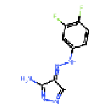 NC1=NN=[C]C1=NNc1ccc(F)c(F)c1